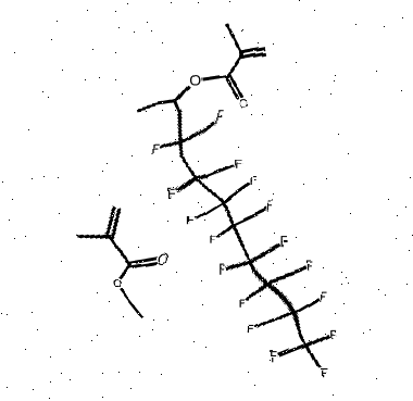 C=C(C)C(=O)OC.C=C(C)C(=O)OC(C)C(F)(F)C(F)(F)C(F)(F)C(F)(F)C(F)(F)C(F)(F)C(F)(F)C(F)(F)F